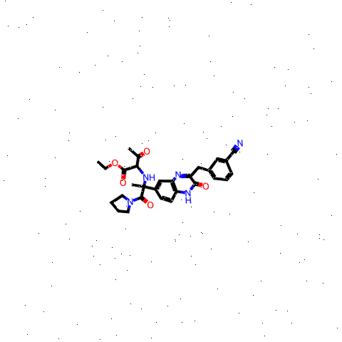 CCOC(=O)C(NC(C)(C(=O)N1CCCC1)c1ccc2[nH]c(=O)c(Cc3cccc(C#N)c3)nc2c1)C(C)=O